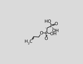 C=CCOP(=O)(O)[CH]P(=O)(O)O